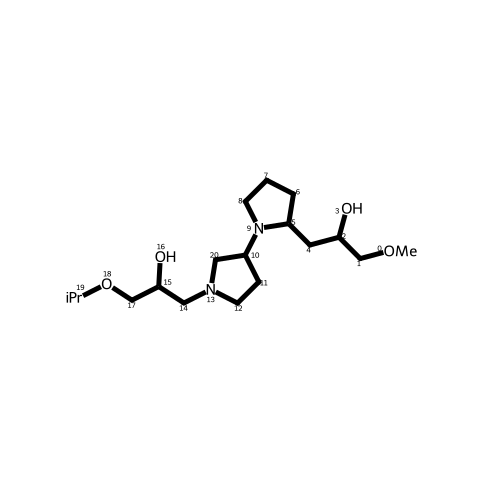 COCC(O)CC1CCCN1C1CCN(CC(O)COC(C)C)C1